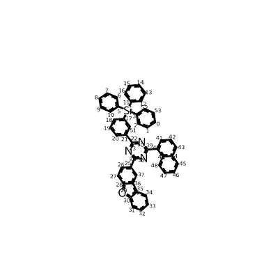 c1ccc([Si](c2ccccc2)(c2ccccc2)c2cccc(-c3nc(-c4ccc5oc6ccccc6c5c4)nc(-c4cccc5ccccc45)n3)c2)cc1